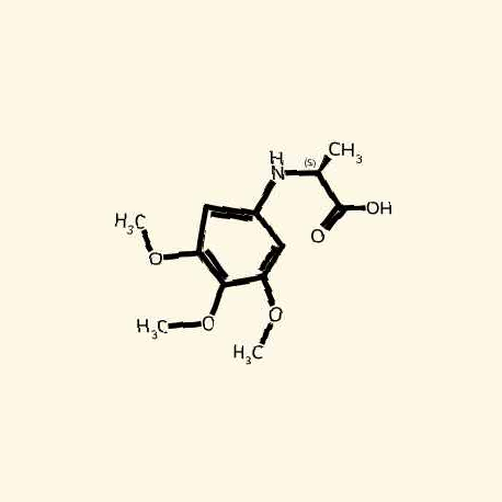 COc1cc(N[C@@H](C)C(=O)O)cc(OC)c1OC